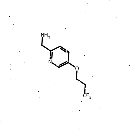 NCc1ccc(OCCC(F)(F)F)cn1